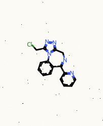 ClCc1nnc2n1-c1ccccc1C(c1ccccn1)=NC2